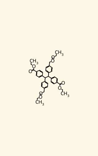 CCOOCc1ccc(C(c2ccc(C(=O)OCC)cc2)C(c2ccc(COOCC)cc2)c2ccc(C(=O)OCC)cc2)cc1